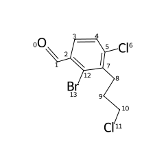 O=Cc1ccc(Cl)c(CCCCl)c1Br